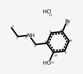 CCNCc1cc(Br)ccc1O.Cl